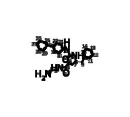 NCCNC(=O)/C=C/[C@@H](Cc1ccccc1)NC(=O)Nc1ccc(-c2ccccc2)cc1